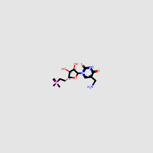 C=P(C)(C)CC[C@H]1OC(n2cc(CN)c(=O)[nH]c2=S)[C@H](O)[C@@H]1O